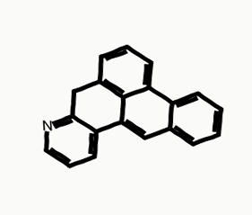 c1cnc2c(c1)-c1cc3ccccc3c3cccc(c13)C2